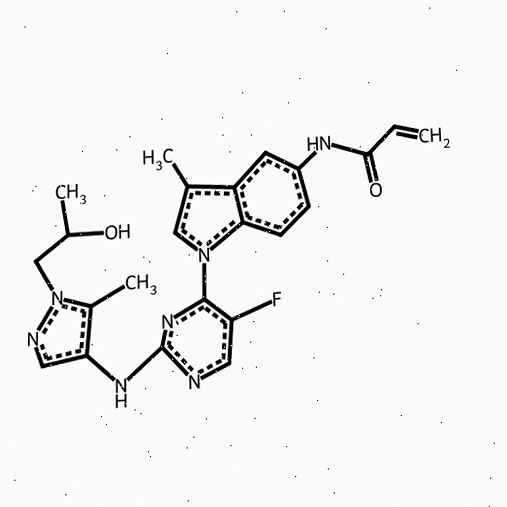 C=CC(=O)Nc1ccc2c(c1)c(C)cn2-c1nc(Nc2cnn(CC(C)O)c2C)ncc1F